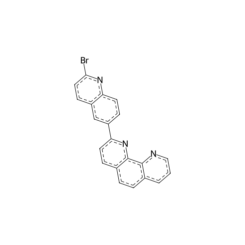 Brc1ccc2cc(-c3ccc4ccc5cccnc5c4n3)ccc2n1